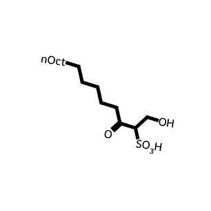 CCCCCCCCCCCCCC(=O)C(CO)S(=O)(=O)O